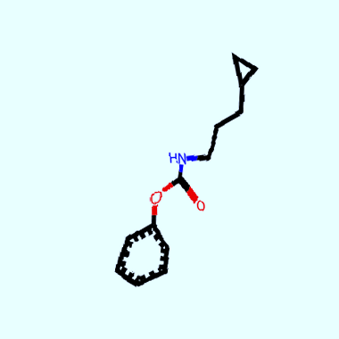 O=C(NCCCC1CC1)Oc1ccccc1